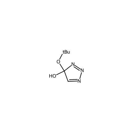 CC(C)(C)OC1(O)C=NN=N1